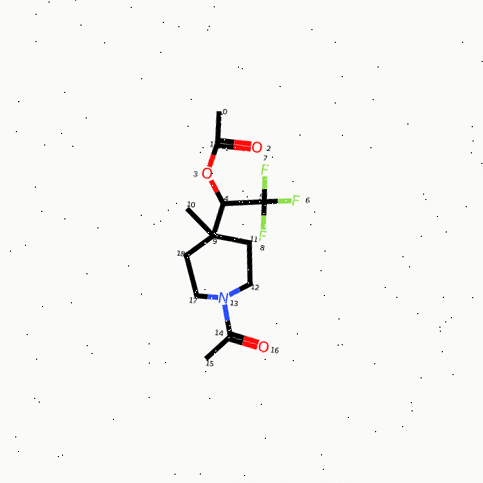 CC(=O)OC(C(F)(F)F)C1(C)CCN(C(C)=O)CC1